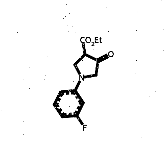 CCOC(=O)C1CN(c2cccc(F)c2)CC1=O